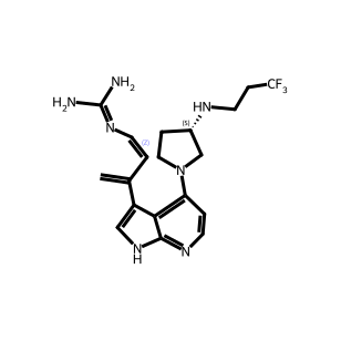 C=C(/C=C\N=C(N)N)c1c[nH]c2nccc(N3CC[C@H](NCCC(F)(F)F)C3)c12